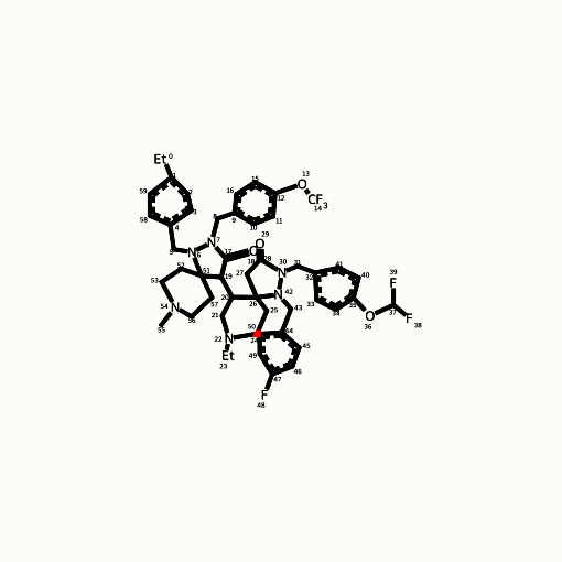 CCc1ccc(CN2N(Cc3ccc(OC(F)(F)F)cc3)C(=O)C(C3CN(CC)CCC34CC(=O)N(Cc3ccc(OC(F)F)cc3)N4Cc3ccc(F)cc3)C23CCN(C)CC3)cc1